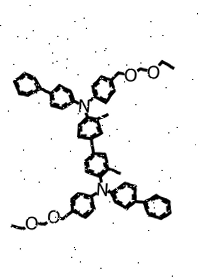 CCOCOCc1ccc(N(c2ccc(-c3ccccc3)cc2)c2ccc(-c3ccc(N(c4ccc(COCOCC)cc4)c4ccc(-c5ccccc5)cc4)c(C)c3)cc2C)cc1